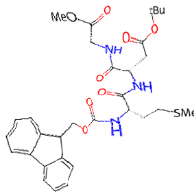 COC(=O)CNC(=O)[C@H](CC(=O)OC(C)(C)C)NC(=O)[C@H](CCSC)NC(=O)OCC1c2ccccc2-c2ccccc21